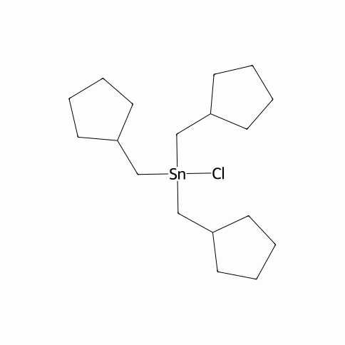 [Cl][Sn]([CH2]C1CCCC1)([CH2]C1CCCC1)[CH2]C1CCCC1